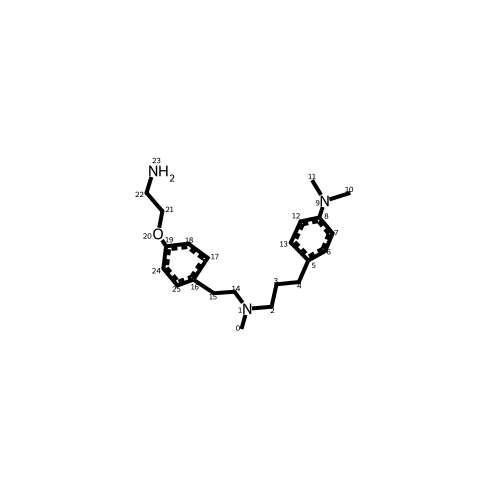 CN(CCCc1ccc(N(C)C)cc1)CCc1ccc(OCCN)cc1